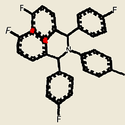 Cc1ccc(N(C(c2ccc(F)cc2)c2ccc(F)cc2)C(c2ccc(F)cc2)c2ccc(F)cc2)cc1